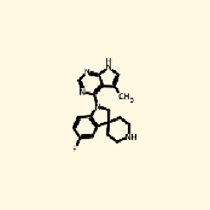 Cc1c[nH]c2ncnc(N3CC4(CCNCC4)c4cc(F)ccc43)c12